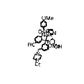 CCN1CCN(Cc2ccc(OC)c(C3(N4C[C@H](O)C[C@H]4c4ncco4)C(=O)N(S(=O)(=O)c4ccc(OC)cc4)c4ccc(C#N)cc43)c2)CC1